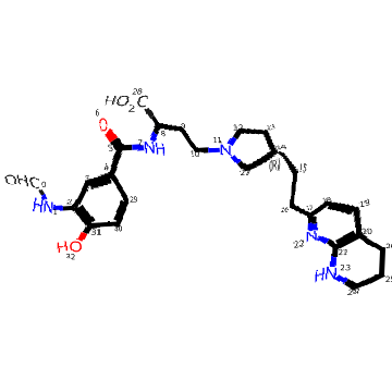 O=CNc1cc(C(=O)NC(CCN2CC[C@@H](CCc3ccc4c(n3)NCCC4)C2)C(=O)O)ccc1O